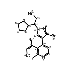 CC/C=C(/Br)c1c(C)ncnc1-c1cn(C(CC#N)C2CCCC2)nc1Br